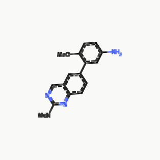 CNc1ncc2cc(-c3cc(N)ccc3OC)ccc2n1